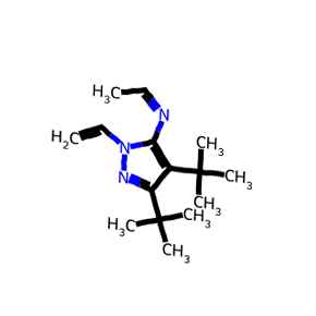 C=Cn1nc(C(C)(C)C)c(C(C)(C)C)c1/N=C\C